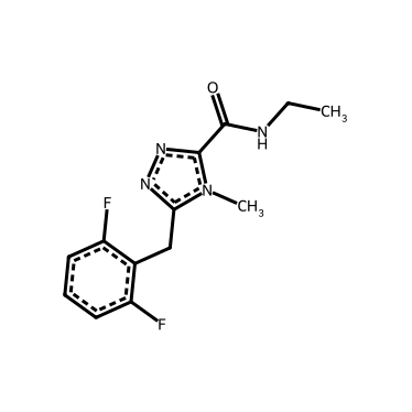 CCNC(=O)c1nnc(Cc2c(F)cccc2F)n1C